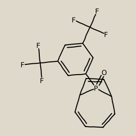 O=P1(c2cc(C(F)(F)F)cc(C(F)(F)F)c2)C2C=CC=CC1C=C2